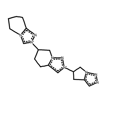 c1nnn2c1CC([n+]1cc3n(n1)CC([n+]1cn4c(n1)CCCC4)CC3)C2